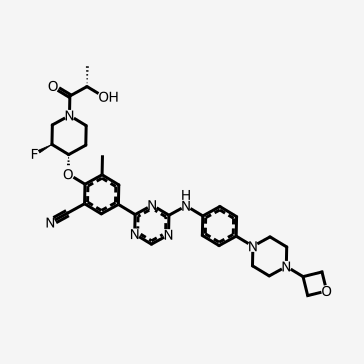 Cc1cc(-c2ncnc(Nc3ccc(N4CCN(C5COC5)CC4)cc3)n2)cc(C#N)c1O[C@H]1CCN(C(=O)[C@H](C)O)C[C@@H]1F